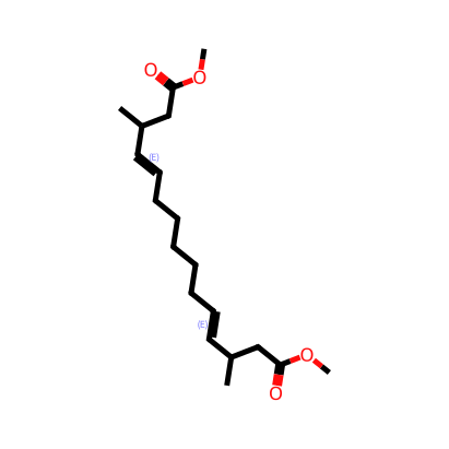 COC(=O)CC(C)/C=C/CCCCC/C=C/C(C)CC(=O)OC